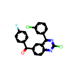 O=C(c1ccc(F)cc1)c1ccc2nc(Cl)nc(-c3cccc(Cl)c3)c2c1